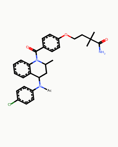 CC(=O)N(c1ccc(Cl)cc1)C1CC(C)N(C(=O)c2ccc(OCCC(C)(C)C(N)=O)cc2)c2ccccc21